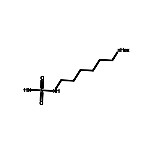 CCCCCCCCCCCCNS([NH])(=O)=O